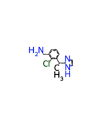 CC(c1ncc[nH]1)c1cccc(CN)c1Cl